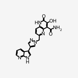 NC(=O)c1c(O)c(=O)[nH]c2ccc(Cn3cc(-c4c[nH]c5ncccc45)cn3)nc12